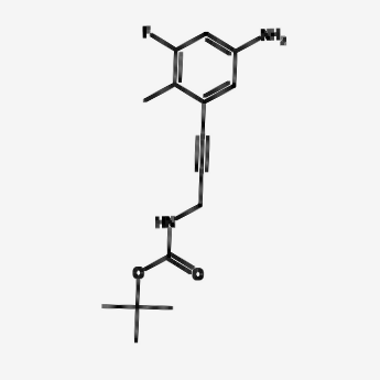 Cc1c(F)cc(N)cc1C#CCNC(=O)OC(C)(C)C